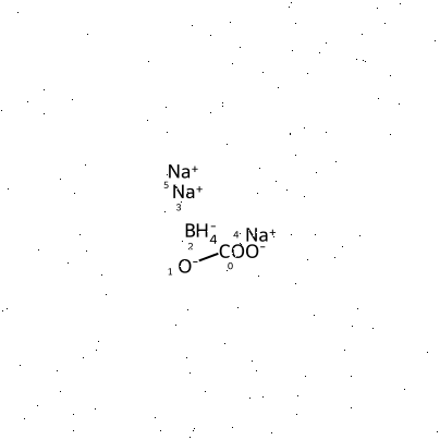 O=C([O-])[O-].[BH4-].[Na+].[Na+].[Na+]